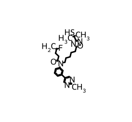 C=C(F)CCC(=O)N(CCCCCc1nc(C(C)(C)S)no1)c1cccc(-c2cnc(C)nc2)c1